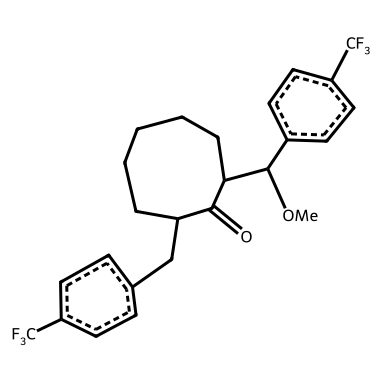 COC(c1ccc(C(F)(F)F)cc1)C1CCCCCC(Cc2ccc(C(F)(F)F)cc2)C1=O